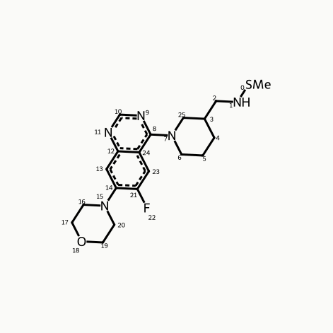 CSNCC1CCCN(c2ncnc3cc(N4CCOCC4)c(F)cc23)C1